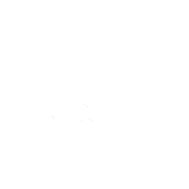 CS(=O)(=O)c1ccc(-c2cccc(-n3cnn(C/C(=C/F)CN)c3=O)c2)cc1.Cl